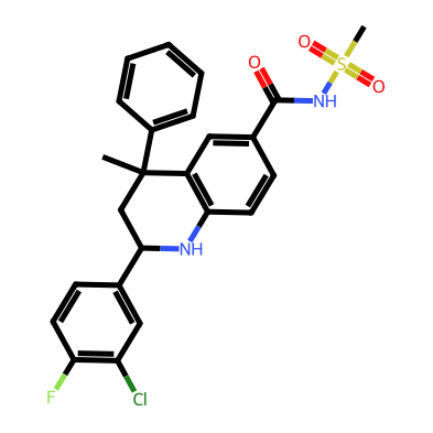 CC1(c2ccccc2)CC(c2ccc(F)c(Cl)c2)Nc2ccc(C(=O)NS(C)(=O)=O)cc21